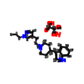 CCCn1cc(CCN2CCC(c3c[nH]c4ccccc34)CC2)cn1.O=C(O)C(=O)O